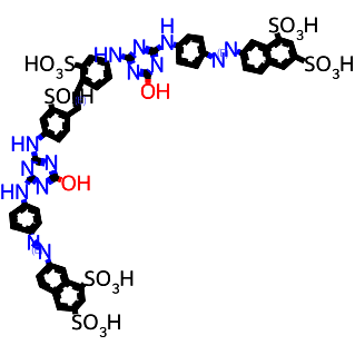 O=S(=O)(O)c1cc(S(=O)(=O)O)c2cc(/N=N/c3ccc(Nc4nc(O)nc(Nc5ccc(/C=C/c6ccc(Nc7nc(O)nc(Nc8ccc(/N=N/c9ccc%10cc(S(=O)(=O)O)cc(S(=O)(=O)O)c%10c9)cc8)n7)cc6S(=O)(=O)O)c(S(=O)(=O)O)c5)n4)cc3)ccc2c1